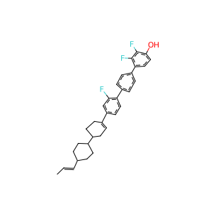 C/C=C/C1CCC(C2CC=C(c3ccc(-c4ccc(-c5ccc(O)c(F)c5F)cc4)c(F)c3)CC2)CC1